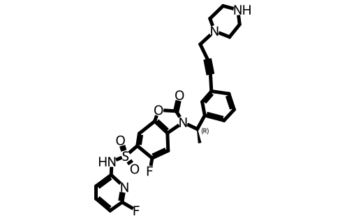 C[C@H](c1cccc(C#CCN2CCNCC2)c1)n1c(=O)oc2cc(S(=O)(=O)Nc3cccc(F)n3)c(F)cc21